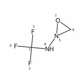 FC(F)(F)NN1CO1